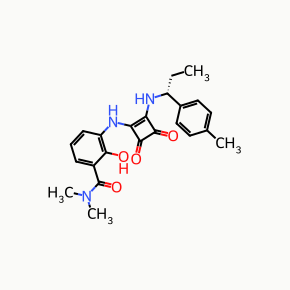 CC[C@@H](Nc1c(Nc2cccc(C(=O)N(C)C)c2O)c(=O)c1=O)c1ccc(C)cc1